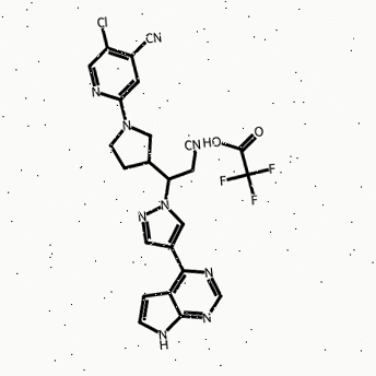 N#CCC(C1CCN(c2cc(C#N)c(Cl)cn2)C1)n1cc(-c2ncnc3[nH]ccc23)cn1.O=C(O)C(F)(F)F